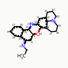 CCN=c1cc2oc3c4c5c(cc3nc-2c2ccccc12)CCCN5CCC4